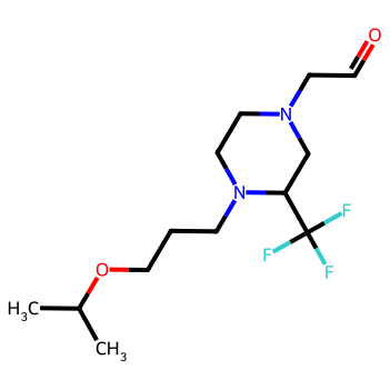 CC(C)OCCCN1CCN(CC=O)CC1C(F)(F)F